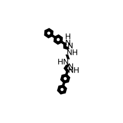 c1ccc(-c2ccc(-c3cc(NCCNc4cc(-c5ccc(-c6ccccc6)cc5)[nH]n4)n[nH]3)cc2)cc1